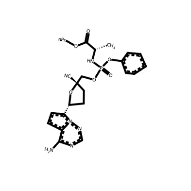 CCCOC(=O)[C@H](C)NP(=O)(OC[C@]1(C#N)CC[C@H](c2ccc3c(N)ncnn23)O1)Oc1ccccc1